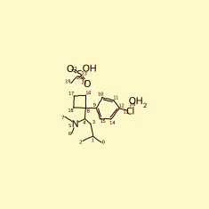 CC(C)CC(N(C)C)C1(c2ccc(Cl)cc2)CCC1.CS(=O)(=O)O.O